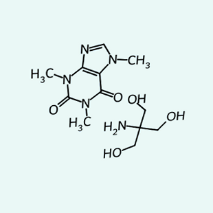 Cn1c(=O)c2c(ncn2C)n(C)c1=O.NC(CO)(CO)CO